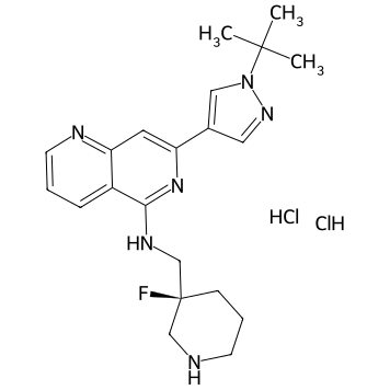 CC(C)(C)n1cc(-c2cc3ncccc3c(NC[C@]3(F)CCCNC3)n2)cn1.Cl.Cl